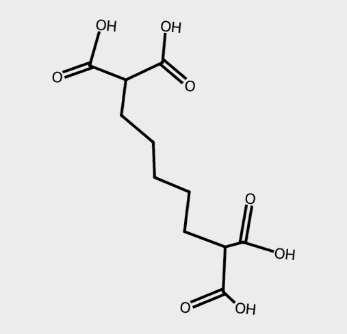 O=C(O)C(CCCCCC(C(=O)O)C(=O)O)C(=O)O